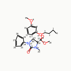 CCCCOc1cc(OC)ccc1[C@@H]1[C@H](C(=O)OC)N(C)C(=O)N1c1ccccc1